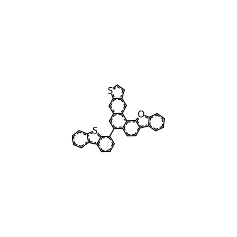 c1ccc2c(c1)oc1c2ccc2c(-c3cccc4c3sc3ccccc34)cc3cc4sccc4cc3c21